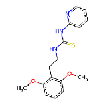 COc1cccc(OC)c1CCNC(=S)Nc1ccccn1